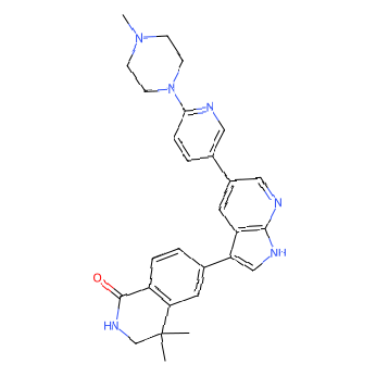 CN1CCN(c2ccc(-c3cnc4[nH]cc(-c5ccc6c(c5)C(C)(C)CNC6=O)c4c3)cn2)CC1